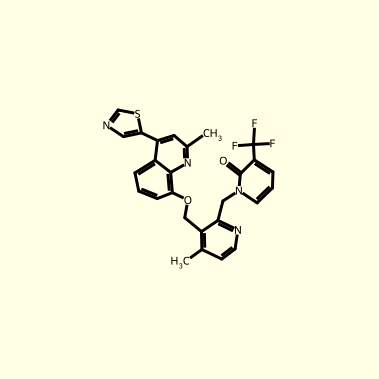 Cc1cc(-c2cncs2)c2cccc(OCc3c(C)ccnc3Cn3cccc(C(F)(F)F)c3=O)c2n1